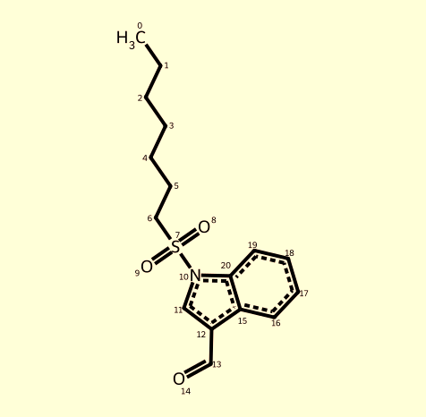 CCCCCCCS(=O)(=O)n1cc(C=O)c2ccccc21